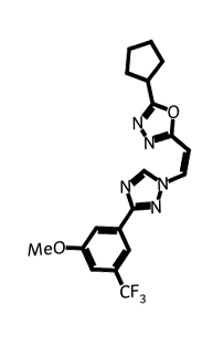 COc1cc(-c2ncn(/C=C\c3nnc(C4CCCC4)o3)n2)cc(C(F)(F)F)c1